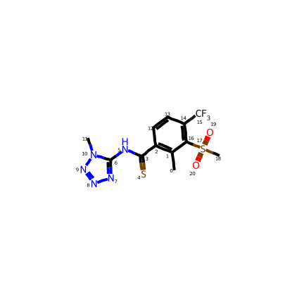 Cc1c(C(=S)Nc2nnnn2C)ccc(C(F)(F)F)c1S(C)(=O)=O